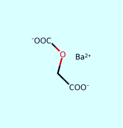 O=C([O-])COC(=O)[O-].[Ba+2]